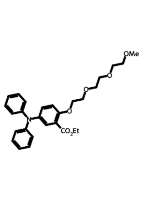 CCOC(=O)c1cc(N(c2ccccc2)c2ccccc2)ccc1OCCOCCOCCOC